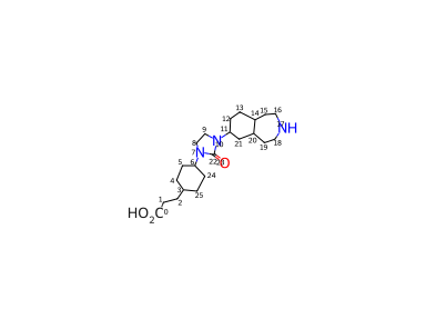 O=C(O)CCC1CCC(N2CCN(C3CCC4CCNCCC4C3)C2=O)CC1